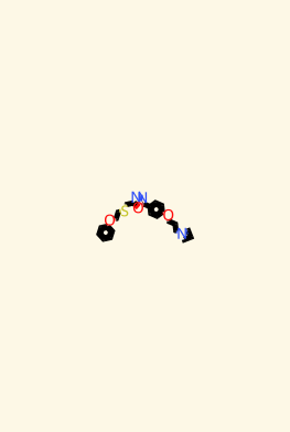 c1ccc(OCCSCc2nnc(-c3ccc(OCCCN4CCC4)cc3)o2)cc1